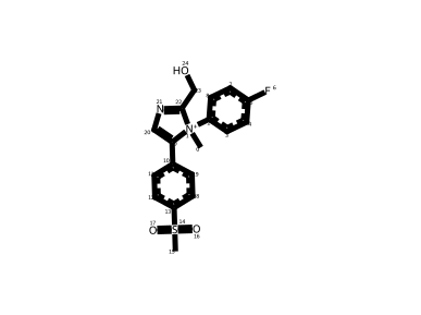 C[N+]1(c2ccc(F)cc2)C(c2ccc(S(C)(=O)=O)cc2)=CN=C1CO